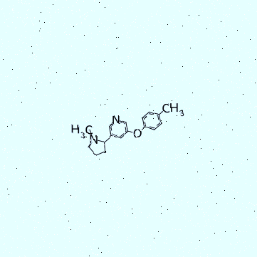 Cc1ccc(Oc2cncc(C3CCCN3C)c2)cc1